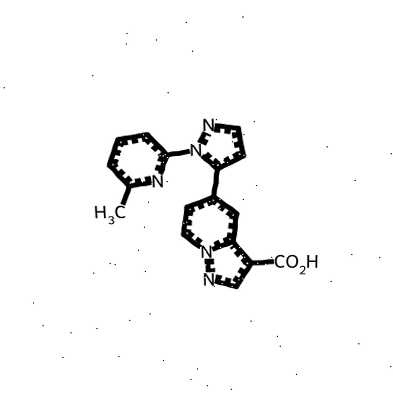 Cc1cccc(-n2nccc2-c2ccn3ncc(C(=O)O)c3c2)n1